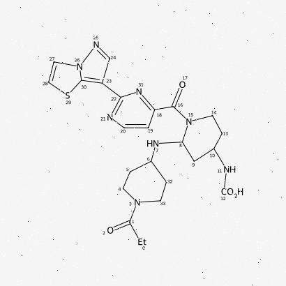 CCC(=O)N1CCC(NC2CC(NC(=O)O)CCN2C(=O)c2ccnc(-c3cnn4ccsc34)n2)CC1